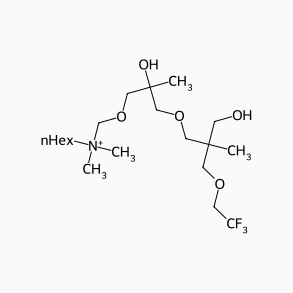 CCCCCC[N+](C)(C)COCC(C)(O)COCC(C)(CO)COCC(F)(F)F